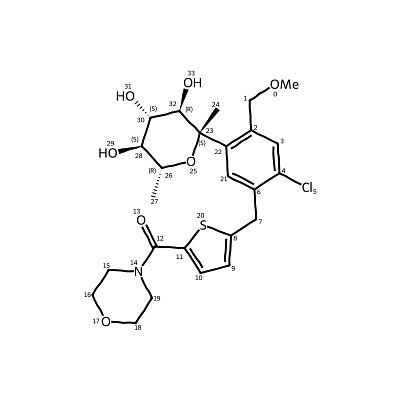 COCc1cc(Cl)c(Cc2ccc(C(=O)N3CCOCC3)s2)cc1[C@]1(C)O[C@H](C)[C@@H](O)[C@H](O)[C@H]1O